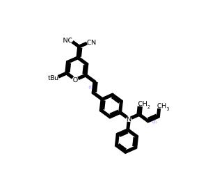 C=C(/C=C\C)N(c1ccccc1)c1ccc(/C=C/C2=CC(=C(C#N)C#N)C=C(C(C)(C)C)O2)cc1